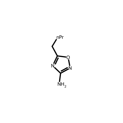 CCCCc1nc(N)no1